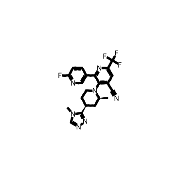 C[C@H]1C[C@@H](c2nncn2C)CCN1c1c(C#N)cc(C(F)(F)F)nc1-c1ccc(F)nc1